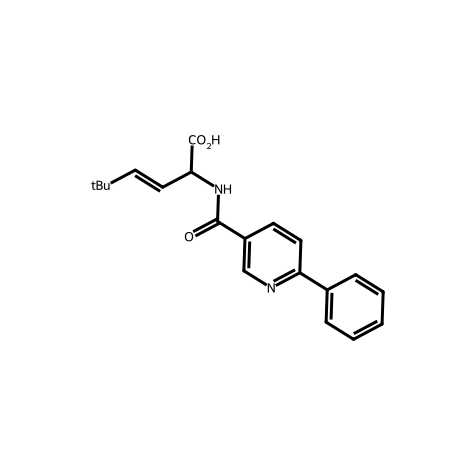 CC(C)(C)/C=C/C(NC(=O)c1ccc(-c2ccccc2)nc1)C(=O)O